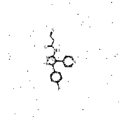 O=C(CC=S)Nc1n[nH]c(-c2ccc(F)cc2)c1-c1ccncc1